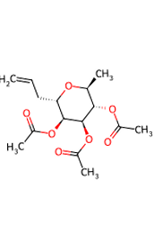 C=CC[C@@H]1O[C@@H](C)[C@H](OC(C)=O)[C@@H](OC(C)=O)[C@H]1OC(C)=O